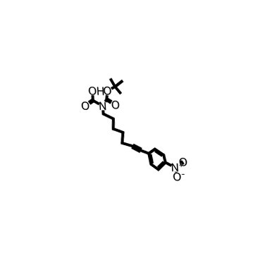 CC(C)(C)OC(=O)N(CCCCCC#Cc1ccc([N+](=O)[O-])cc1)C(=O)O